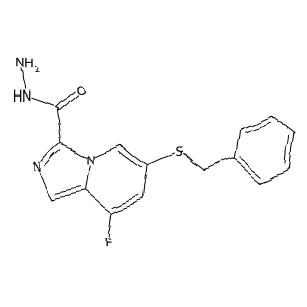 NNC(=O)c1ncc2c(F)cc(SCc3ccccc3)cn12